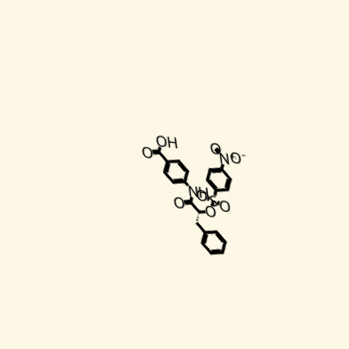 O=C(O)c1ccc(NC(=O)[C@@H](Cc2ccccc2)OS(=O)(=O)c2ccc([N+](=O)[O-])cc2)cc1